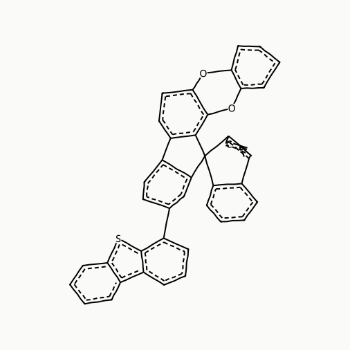 c1ccc2c(c1)Oc1ccc3c(c1O2)C1(c2ccccc2-c2ccccc21)c1cc(-c2cccc4c2sc2ccccc24)ccc1-3